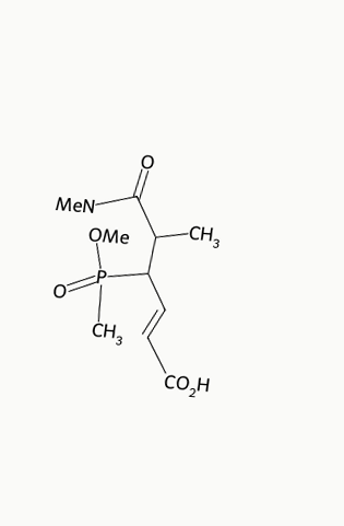 CNC(=O)C(C)C(C=CC(=O)O)P(C)(=O)OC